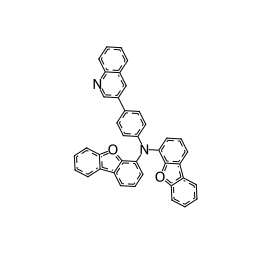 c1ccc2ncc(-c3ccc(N(c4cccc5c4oc4ccccc45)c4cccc5c4oc4ccccc45)cc3)cc2c1